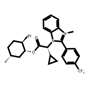 CC(C)[C@@H]1CC[C@@H](C)C[C@H]1OC(=O)[C@@H](C1CC1)n1c(-c2ccc(C(F)(F)F)cc2)[n+](C)c2ccccc21